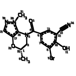 C[C@H]1CN(C(=O)c2cc(Br)c(O)c(C#N)c2)c2c(cnn2C)O1